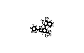 Cn1cc(-c2cc(S(C)(=O)=O)cc3cc(-c4ccccc4)oc23)c2ccccc2c1=O